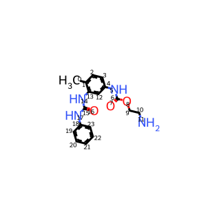 Cc1ccc(NC(=O)OCCN)cc1NC(=O)Nc1ccccc1